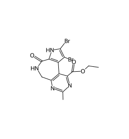 CCOC(=O)c1nc(C)nc2c1-c1c([nH]c(Br)c1Br)C(=O)NC2